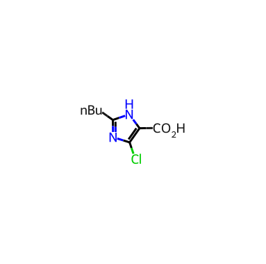 CCCCc1nc(Cl)c(C(=O)O)[nH]1